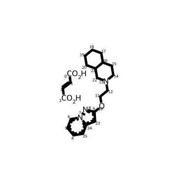 O=C(O)C=CC(=O)O.c1ccn2nc(OCCN3CCC4CCCCC4C3)cc2c1